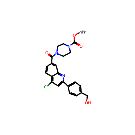 CCCOC(=O)N1CCN(C(=O)c2ccc3c(Cl)cc(-c4ccc(CO)cc4)nc3c2)CC1